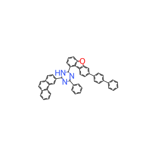 c1ccc(C2=NC(c3cccc4oc5cc(-c6ccc(-c7ccccc7)cc6)ccc5c34)NC(c3ccc4ccc5ccccc5c4c3)=N2)cc1